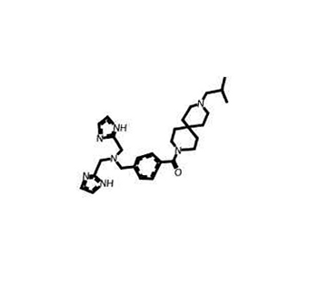 CC(C)CN1CCC2(CC1)CCN(C(=O)c1ccc(CN(Cc3ncc[nH]3)Cc3ncc[nH]3)cc1)CC2